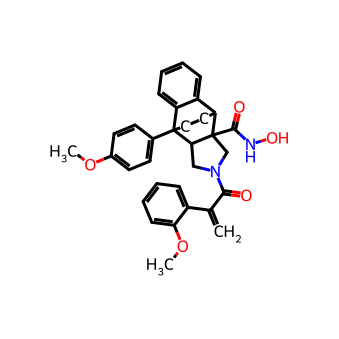 C=C(C(=O)N1CC2C3(c4ccc(OC)cc4)CCC(c4ccccc43)C2(C(=O)NO)C1)c1ccccc1OC